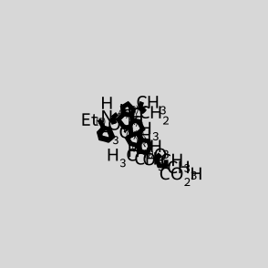 C=C(C)[C@@H]1CC[C@]2(CC(=O)N[C@@H](CC)c3ccccc3)CC[C@]3(C)[C@H](CC[C@@H]4[C@@]5(C)CC[C@H](OC(=O)CC(C)(C)C(=O)O)C(C)(C)[C@@H]5CC[C@]43C)[C@@H]12